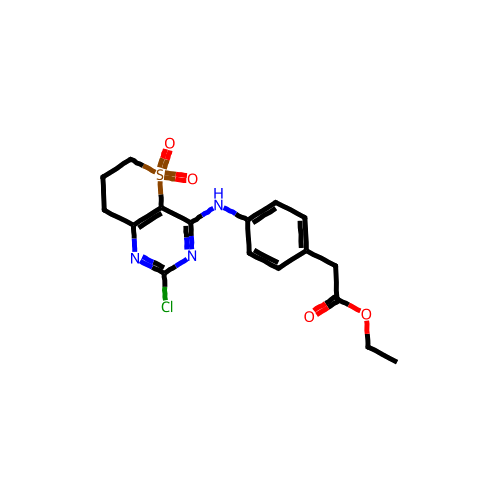 CCOC(=O)Cc1ccc(Nc2nc(Cl)nc3c2S(=O)(=O)CCC3)cc1